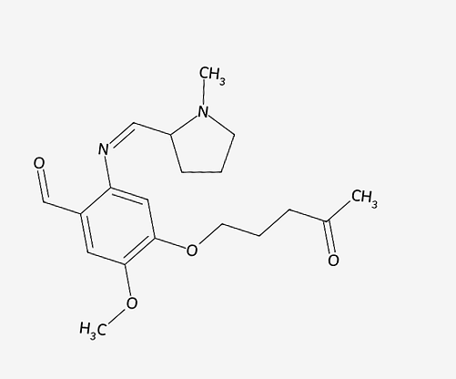 COc1cc(C=O)c(/N=C\C2CCCN2C)cc1OCCCC(C)=O